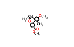 COC(=O)c1ccc2c(c1)-c1c(C)cc(OC)cc1CC(C)(C)O2